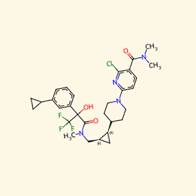 CN(C)C(=O)c1ccc(N2CCC([C@H]3C[C@H]3CN(C)C(=O)C(O)(c3cccc(C4CC4)c3)C(F)(F)F)CC2)nc1Cl